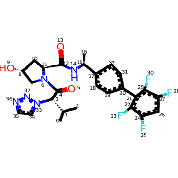 CC(C)[C@@H](C(=O)N1C[C@H](O)C[C@H]1C(=O)N[C@@H](C)c1ccc(-c2c(F)c(F)cc(F)c2F)cc1)n1ccnn1